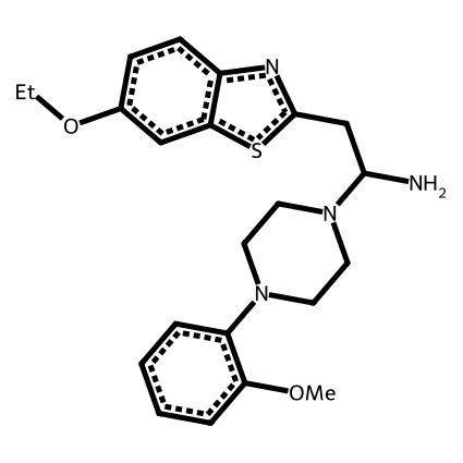 CCOc1ccc2nc(CC(N)N3CCN(c4ccccc4OC)CC3)sc2c1